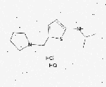 CC(C)Nc1ccc(CN2CCCC2)s1.Cl.Cl